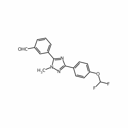 Cn1nc(-c2ccc(OC(F)F)cc2)nc1-c1cccc(C=O)c1